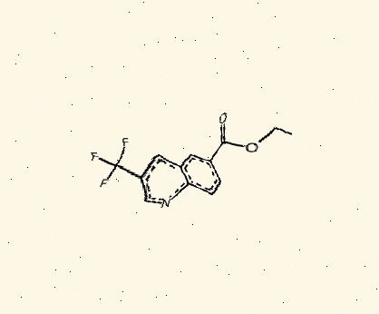 CCOC(=O)c1ccc2ncc(C(F)(F)F)cc2c1